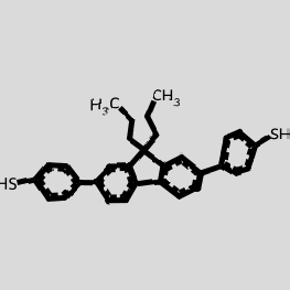 CCCC1(CCC)c2cc(-c3ccc(S)cc3)ccc2-c2ccc(-c3ccc(S)cc3)cc21